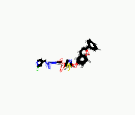 O=C(NCc1ccnc(Cl)c1)Oc1cnc(Oc2ccc3c(c2)CCC(c2ccccc2)O3)s1